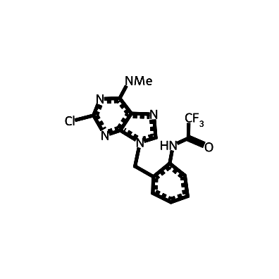 CNc1nc(Cl)nc2c1ncn2Cc1ccccc1NC(=O)C(F)(F)F